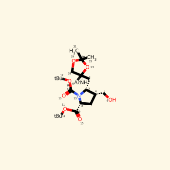 CC(=O)NC1(C[C@@H]2[C@H](CO)C[C@H](C(=O)OC(C)(C)C)N2C(=O)OC(C)(C)C)COC(C)(C)O1